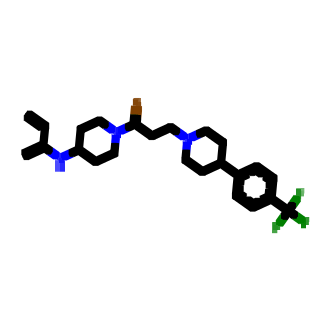 C=CC(=C)NC1CCN(C(=S)CCN2CCC(c3ccc(C(F)(F)F)cc3)CC2)CC1